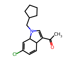 CC(=O)C1=CN(CC2CCCC2)C2C=C(Cl)C=CC12